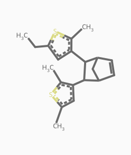 CCc1cc(C2C3C=CC(C3)C2c2cc(C)sc2C)c(C)s1